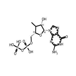 CC1[C@@H](COP(=O)(O)OP(=O)(O)O)O[C@@H](n2cnc3c(=O)[nH]c(N)nc32)[C@H]1O